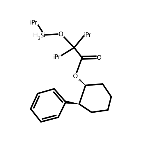 CC(C)[SiH2]OC(C(=O)O[C@@H]1CCCC[C@H]1c1ccccc1)(C(C)C)C(C)C